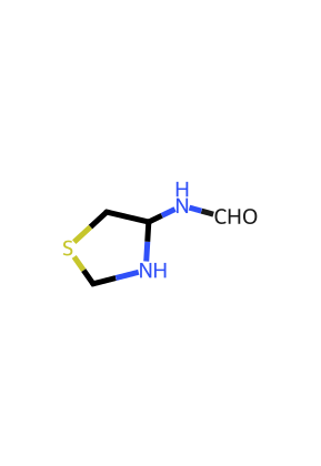 O=CNC1CSCN1